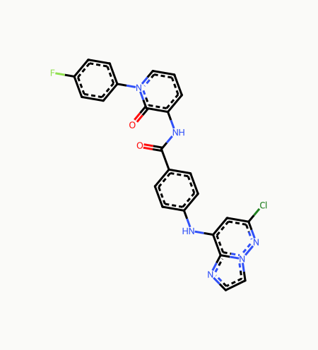 O=C(Nc1cccn(-c2ccc(F)cc2)c1=O)c1ccc(Nc2cc(Cl)nn3ccnc23)cc1